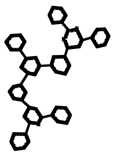 c1ccc(-c2cc(-c3cccc(-c4cc(-c5ccccc5)nc(-c5ccccc5)c4)c3)cc(-c3cccc(-c4cc(-c5ccccc5)nc(-c5ccccc5)n4)c3)c2)cc1